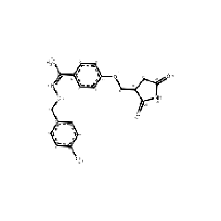 CC(=NOCc1ccc(C(F)(F)F)cc1)c1ccc(OCC2CC(=O)NC2=O)cc1